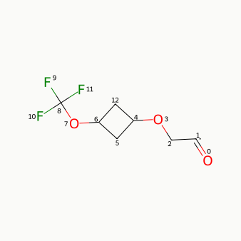 O=[C]COC1CC(OC(F)(F)F)C1